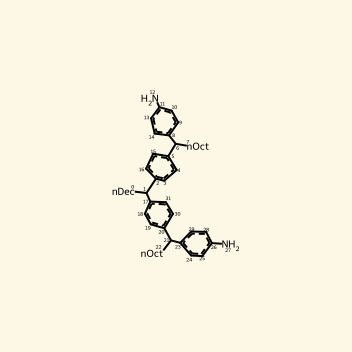 CCCCCCCCCCC(c1ccc(C(CCCCCCCC)c2ccc(N)cc2)cc1)c1ccc(C(CCCCCCCC)c2ccc(N)cc2)cc1